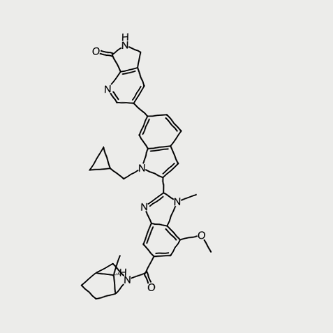 COc1cc(C(=O)N2CC3CCC2[C@@H]3C)cc2nc(-c3cc4ccc(-c5cnc6c(c5)CNC6=O)cc4n3CC3CC3)n(C)c12